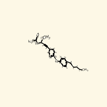 CCCCCc1ccc(Oc2ccc(C#CC(C)NC(C)=O)cn2)cc1